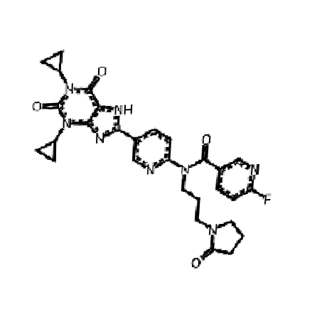 O=C1CCCN1CCCN(C(=O)c1ccc(F)nc1)c1ccc(-c2nc3c([nH]2)c(=O)n(C2CC2)c(=O)n3C2CC2)cn1